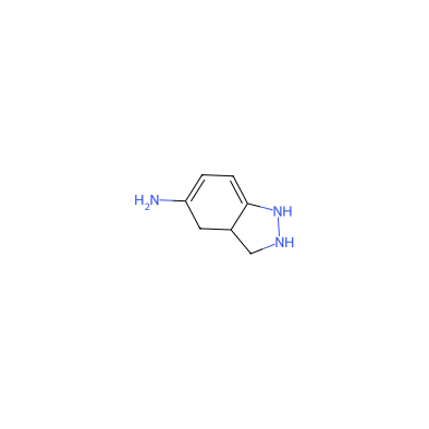 NC1=CC=C2NNCC2C1